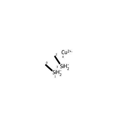 C[SiH2-].C[SiH2-].[Cu+2]